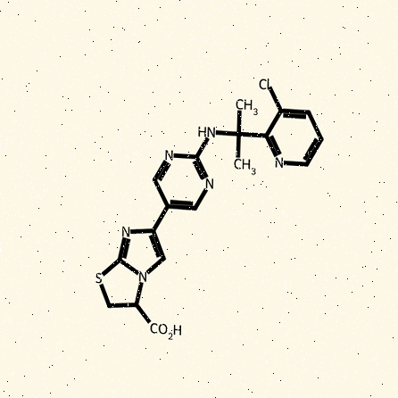 CC(C)(Nc1ncc(-c2cn3c(n2)SCC3C(=O)O)cn1)c1ncccc1Cl